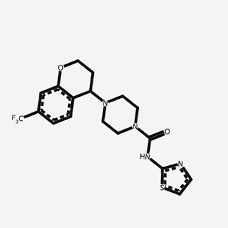 O=C(Nc1nccs1)N1CCN(C2CCOc3cc(C(F)(F)F)ccc32)CC1